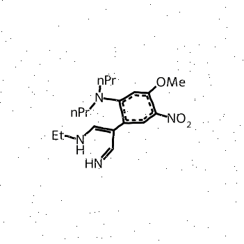 CCCN(CCC)c1cc(OC)c([N+](=O)[O-])cc1/C(C=N)=C/NCC